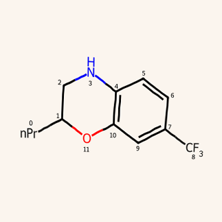 CCCC1CNc2ccc(C(F)(F)F)cc2O1